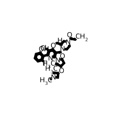 C=CC(=O)N1CCN2C(=O)c3c(N4CCC(OC5CN(C)C5)C4(C)C)nc(-c4c(O)cccc4F)c(Cl)c3OC[C@H]2C1